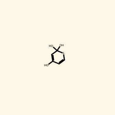 OC1=CC(O)(O)SC=C1